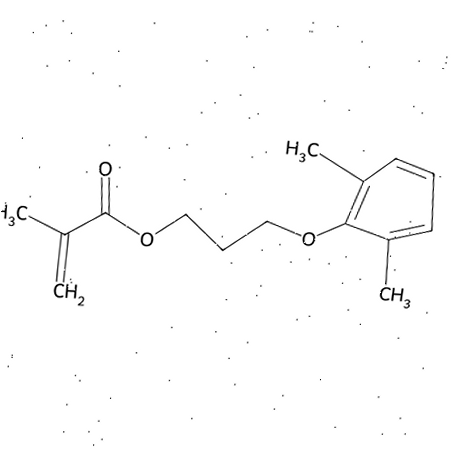 C=C(C)C(=O)OCCCOc1c(C)cccc1C